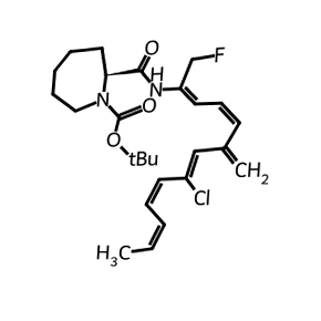 C=C(/C=C\C=C(/CF)NC(=O)[C@@H]1CCCCCN1C(=O)OC(C)(C)C)/C=C(Cl)/C=C\C=C/C